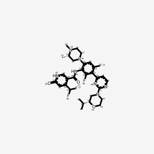 CC(C)[C@@H]1CN(c2nccc(-c3c(F)cc(N4CCN(C)[C@@H](C)C4)c(NC(=O)c4c[nH]c(=O)cc4C(F)F)c3F)n2)CCO1